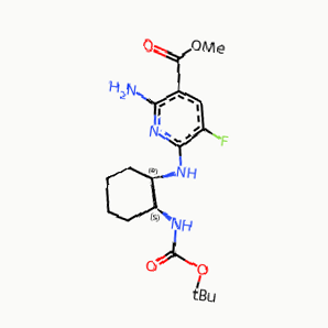 COC(=O)c1cc(F)c(N[C@@H]2CCCC[C@@H]2NC(=O)OC(C)(C)C)nc1N